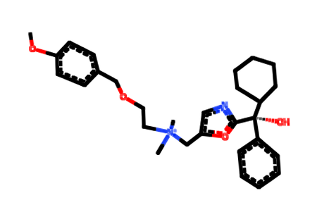 COc1ccc(COCC[N+](C)(C)Cc2cnc([C@](O)(c3ccccc3)C3CCCCC3)o2)cc1